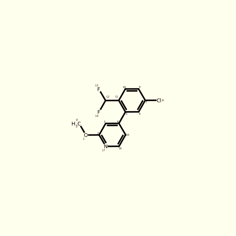 COc1cc(-c2cc(Cl)ccc2C(F)F)ccn1